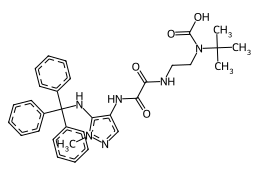 Cn1ncc(NC(=O)C(=O)NCCN(C(=O)O)C(C)(C)C)c1NC(c1ccccc1)(c1ccccc1)c1ccccc1